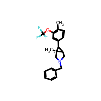 Cc1ccc(C2C3CN(Cc4ccccc4)C[C@@]32C)cc1OC(F)(F)F